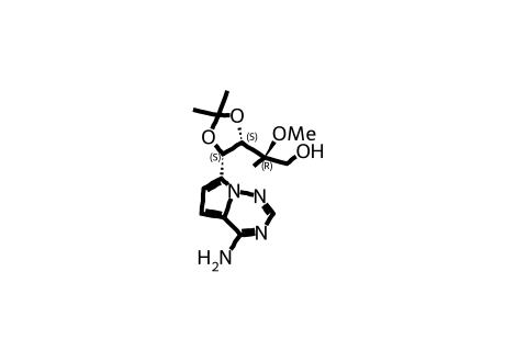 CO[C@](C)(CO)[C@H]1OC(C)(C)O[C@H]1c1ccc2c(N)ncnn12